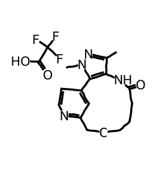 Cc1nn(C)c2c1NC(=O)CCCCCc1cc-2ccn1.O=C(O)C(F)(F)F